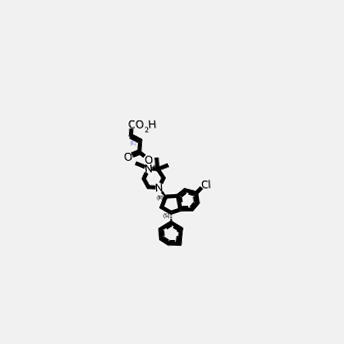 CC1(C)CN([C@@H]2C[C@@H](c3ccccc3)c3ccc(Cl)cc32)CC[N+]1(C)OC(=O)/C=C/C(=O)O